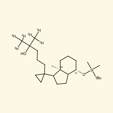 [2H]C([2H])([2H])C(O)(CCCC1(C2CCC3[C@@H](O[Si](C)(C)C(C)(C)C)CCC[C@@]32C)CC1)C([2H])([2H])[2H]